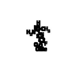 COC(=O)Oc1cc2sc(-c3c(N)n[nH]c3C)nc2cc1F